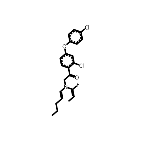 C/C=C(/F)N(/C=C/CCC)CC(=O)c1ccc(Oc2ccc(Cl)cc2)cc1Cl